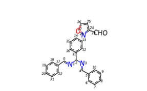 C(=NC(N=Cc1ccccc1)c1ccccc1)c1ccccc1.O=Cc1ccon1